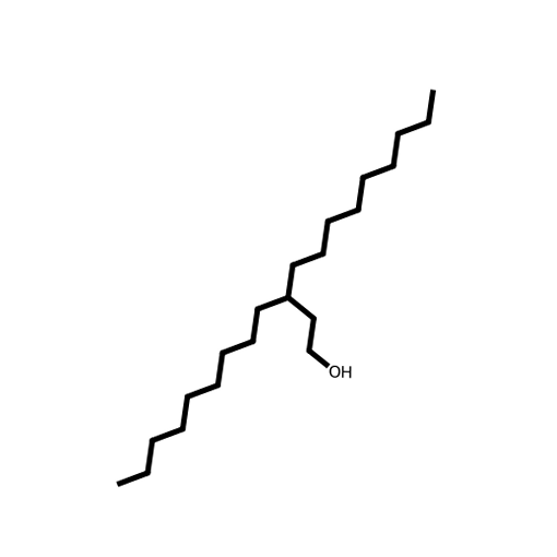 CCCCCCCCCC(CCO)CCCCCCCCC